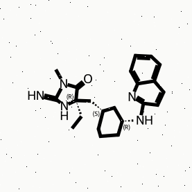 CC[C@]1(C[C@H]2CCC[C@@H](Nc3ccc4ccccc4n3)C2)NC(=N)N(C)C1=O